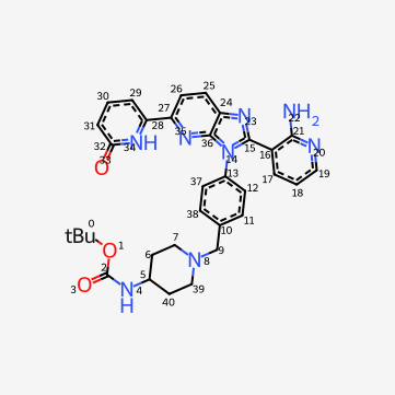 CC(C)(C)OC(=O)NC1CCN(Cc2ccc(-n3c(-c4cccnc4N)nc4ccc(-c5cccc(=O)[nH]5)nc43)cc2)CC1